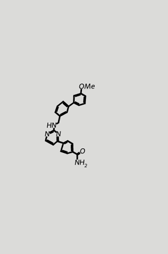 COc1cccc(-c2cccc(CNc3nccc(-c4ccc(C(N)=O)cc4)n3)c2)c1